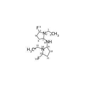 CCN1C(F)CCC1NC1CCC(F)N1CC